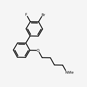 CNCCCCOc1ccccc1-c1ccc(Br)c(F)c1